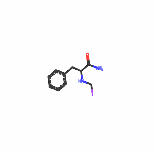 NC(=O)C(Cc1ccccc1)NCI